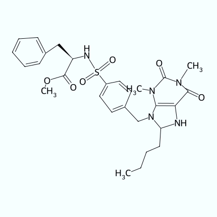 CCCCC1Nc2c(n(C)c(=O)n(C)c2=O)N1Cc1ccc(S(=O)(=O)N[C@H](Cc2ccccc2)C(=O)OC)cc1